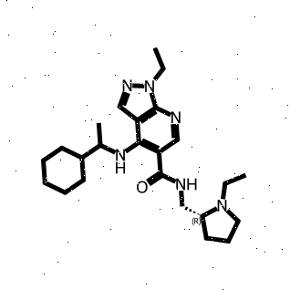 CCN1CCC[C@@H]1CNC(=O)c1cnc2c(cnn2CC)c1NC(C)C1CCCCC1